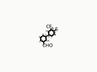 O=Cc1cccc(-c2ccc(F)c(C(F)(F)F)c2)c1